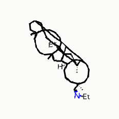 CC/N=C\[C@]1(C)CCCC2C3CCC4(C)CCCCC5(C)CC6[C@H](CCC1)[C@@]17C[C@@]6(C)C5(CC)CCCCC4(C3)C[C@]1(C)C27C